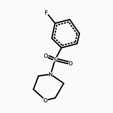 O=S(=O)(c1cccc(F)c1)N1CCOCC1